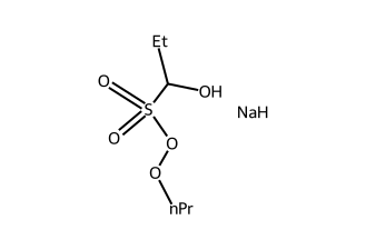 CCCOOS(=O)(=O)C(O)CC.[NaH]